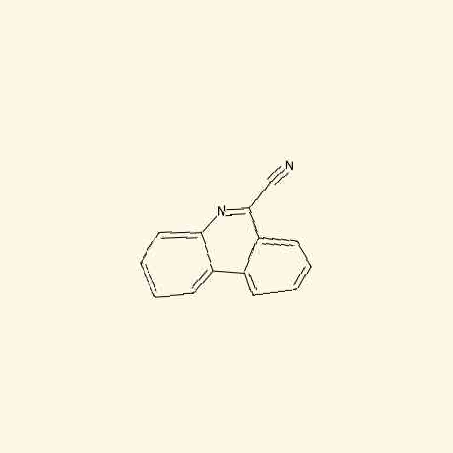 N#Cc1nc2ccccc2c2ccccc12